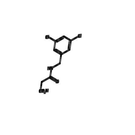 O=C(O)CC(=O)NCc1cc(Cl)cc(Cl)c1